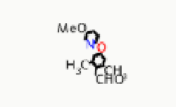 COc1ccc(Oc2cc(C)c(CC=O)c(C)c2)nc1